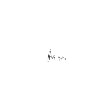 B=O.O.[MgH2]